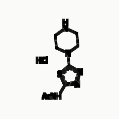 CC(=O)Nc1nnc(N2CCNCC2)s1.Cl